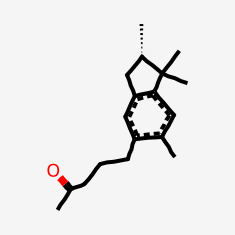 CC(=O)CCCc1cc2c(cc1C)C(C)(C)[C@@H](C)C2